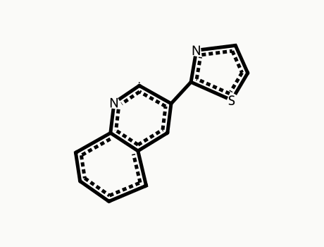 [c]1nc2ccccc2cc1-c1nccs1